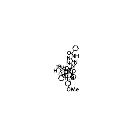 COc1ccc(C(N[C@H]2[C@@H](O[Si](C)(C)C(C)(C)C)[C@H](n3cnc4c(NC(=O)c5ccccc5)ncnc43)O[C@@H]2CN)(c2ccccc2)c2ccccc2)cc1